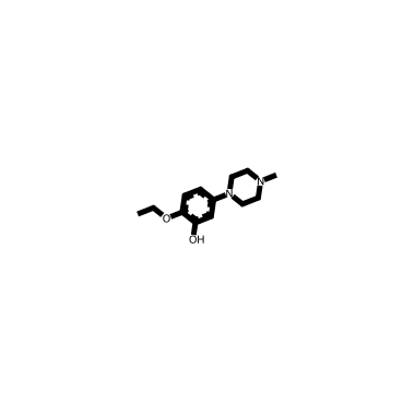 CCOc1ccc(N2CCN(C)CC2)cc1O